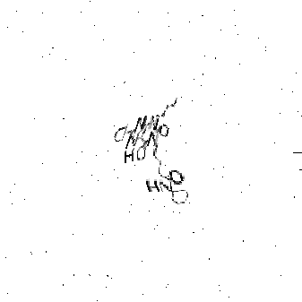 CCCCCn1c(=O)n(CCCCC(=O)NC2CCCCC2)c(=O)c2[nH]c(Cl)nc21